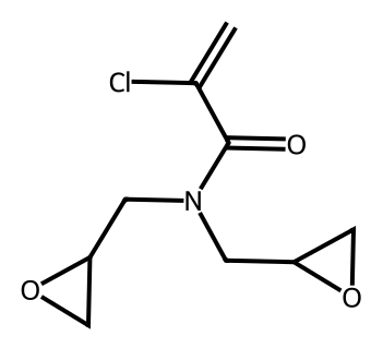 C=C(Cl)C(=O)N(CC1CO1)CC1CO1